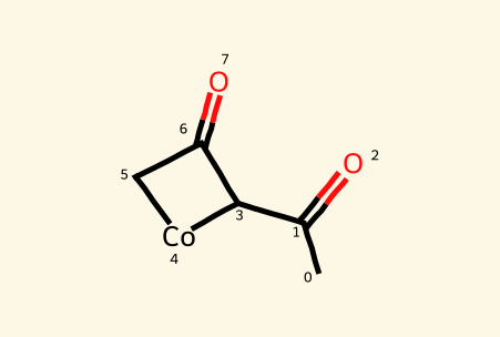 CC(=O)[CH]1[Co][CH2]C1=O